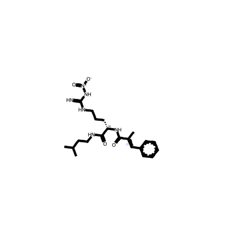 C/C(=C\c1ccccc1)C(=O)N[C@@H](CCCNC(=N)N[N+](=O)[O-])C(=O)NCCC(C)C